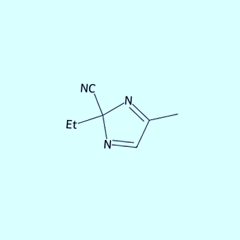 CCC1(C#N)N=CC(C)=N1